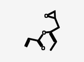 C=CC(=O)OC(=CC)CC1CO1